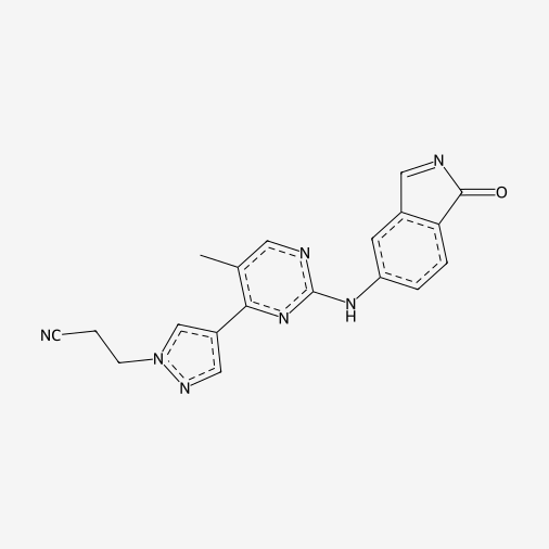 Cc1cnc(Nc2ccc3c(c2)C=NC3=O)nc1-c1cnn(CCC#N)c1